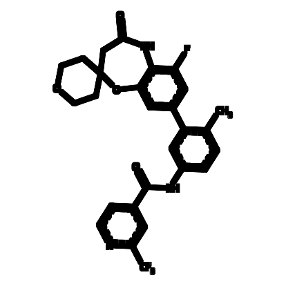 Cc1ccc(NC(=O)c2ccnc(C(F)(F)F)c2)cc1-c1cc(F)c2c(c1)OC1(CCOCC1)CC(=O)N2